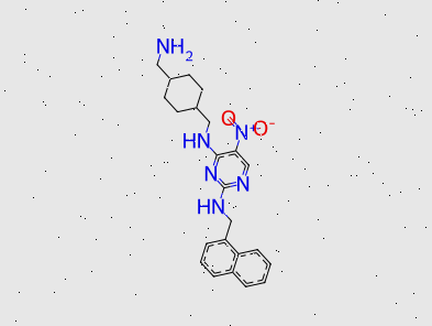 NCC1CCC(CNc2nc(NCc3cccc4ccccc34)ncc2[N+](=O)[O-])CC1